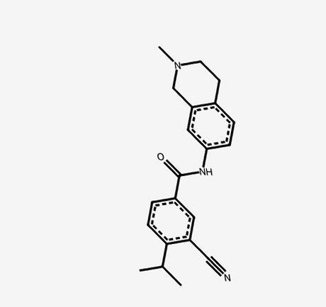 CC(C)c1ccc(C(=O)Nc2ccc3c(c2)CN(C)CC3)cc1C#N